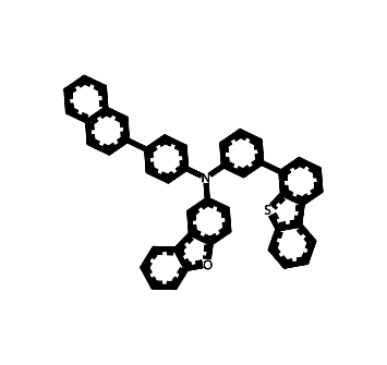 c1cc(-c2cccc3c2sc2ccccc23)cc(N(c2ccc(-c3ccc4ccccc4c3)cc2)c2ccc3oc4ccccc4c3c2)c1